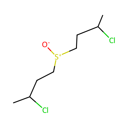 CC(Cl)CC[S+]([O-])CCC(C)Cl